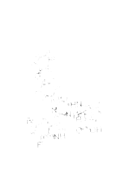 O=C(O)[C@@H]1C2CCC(CC2)[C@H]1Nc1cc(-c2ccc(Oc3ccccc3)cc2)nc(-c2c[nH]c3c(F)cc(F)cc23)n1